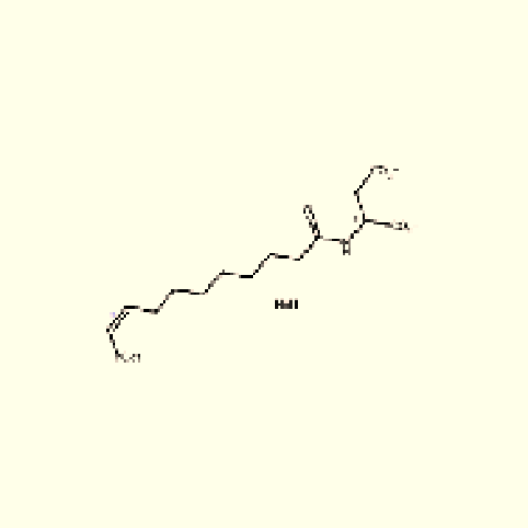 CCCCCCCC/C=C\CCCCCCCC(=O)N[C@@H](CC(=O)O)C(=O)O.[NaH]